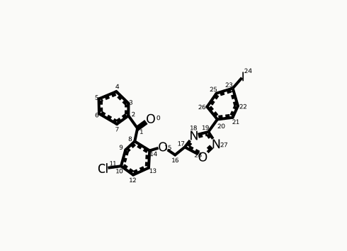 O=C(c1ccccc1)c1cc(Cl)ccc1OCc1nc(-c2ccc(I)cc2)no1